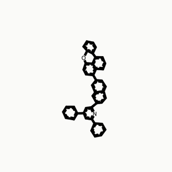 c1ccc(-c2cc(-c3ccccc3)nc(-c3ccc4ccc(-c5ccc6c7c(cccc57)-c5ccccc5O6)cc4c3)c2)cc1